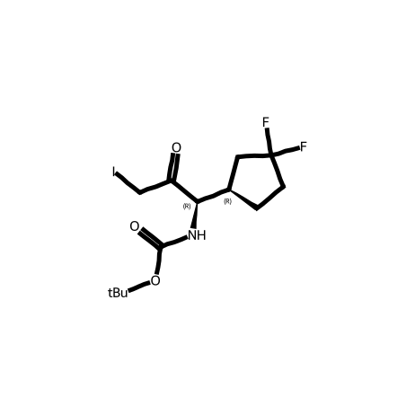 CC(C)(C)OC(=O)N[C@@H](C(=O)CI)[C@@H]1CCC(F)(F)C1